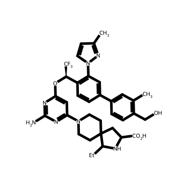 CCC1NC(C(=O)O)CC12CCN(c1cc(O[C@H](c3ccc(-c4ccc(CO)c(C)c4)cc3-n3ccc(C)n3)C(F)(F)F)nc(N)n1)CC2